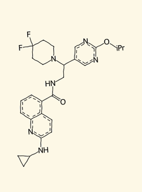 CC(C)Oc1ncc(C(CNC(=O)c2cccc3nc(NC4CC4)ccc23)N2CCC(F)(F)CC2)cn1